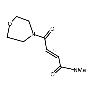 CNC(=O)/C=C/C(=O)N1CCOCC1